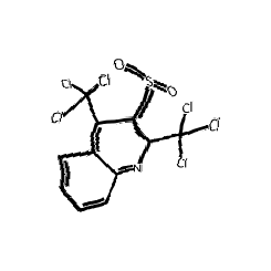 O=S(=O)=C1C(C(Cl)(Cl)Cl)=c2ccccc2=NC1C(Cl)(Cl)Cl